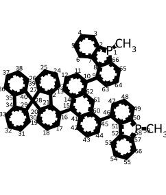 Cp1c2ccccc2c2c(-c3cccc4c(-c5cccc6c5-c5ccccc5C65c6ccccc6-c6ccccc65)c5cccc(-c6cccc7c6c6ccccc6p7C)c5cc34)cccc21